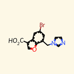 O=C(O)c1coc2c(Cn3ccnc3)cc(Br)cc12